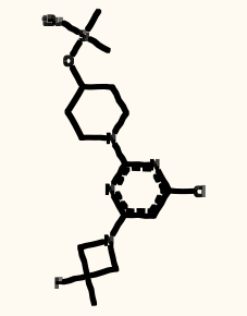 CC1(F)CN(c2cc(Cl)nc(N3CCC(O[Si](C)(C)C(C)(C)C)CC3)n2)C1